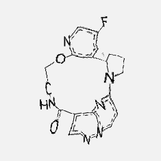 C[C@]12CCCN1c1ccn3ncc(c3n1)C(=O)NCCOc1ncc(F)cc12